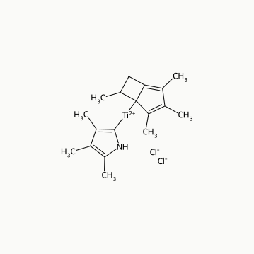 CC1=C(C)[C]2([Ti+2][c]3[nH]c(C)c(C)c3C)C(=C1C)CC2C.[Cl-].[Cl-]